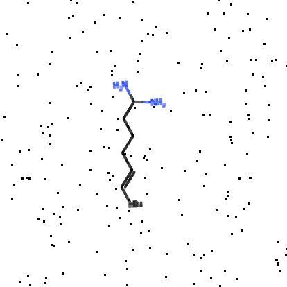 CCCCC=CCCCC(N)N